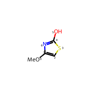 COc1csc(O)n1